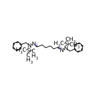 C[Si](C)(C)N(Cc1ccccc1)/N=C/CCCC/C=N/N(Cc1ccccc1)[Si](C)(C)C